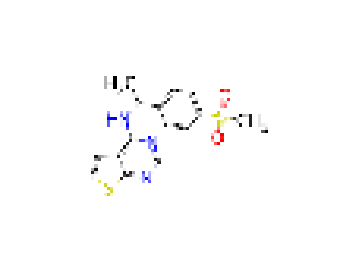 CC(Nc1ncnc2sccc12)c1ccc(S(C)(=O)=O)cc1